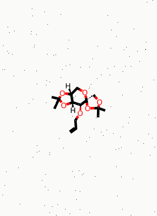 C=CCO[C@H]1[C@@H]2OC(C)(C)O[C@@H]2CO[C@]12COC(C)(C)O2